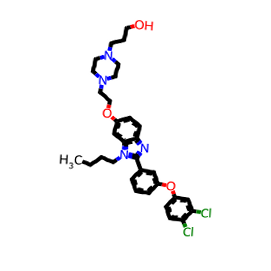 CCCCn1c(-c2cccc(Oc3ccc(Cl)c(Cl)c3)c2)nc2ccc(OCCN3CCN(CCCO)CC3)cc21